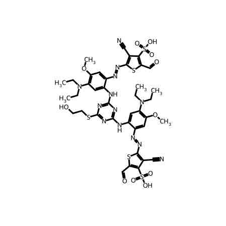 CCN(CC)c1cc(Nc2nc(Nc3cc(N(CC)CC)c(OC)cc3/N=N/c3sc(C=O)c(S(=O)(=O)O)c3C#N)nc(SCCO)n2)c(/N=N/c2sc(C=O)c(S(=O)(=O)O)c2C#N)cc1OC